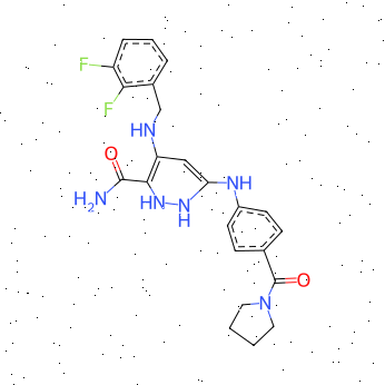 NC(=O)C1=C(NCc2cccc(F)c2F)C=C(Nc2ccc(C(=O)N3CCCC3)cc2)NN1